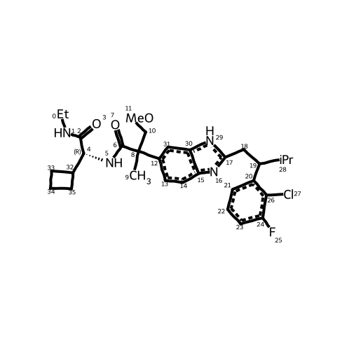 CCNC(=O)[C@H](NC(=O)C(C)(COC)c1ccc2nc(CC(c3cccc(F)c3Cl)C(C)C)[nH]c2c1)C1CCC1